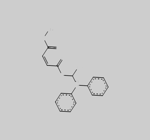 CCCC(OC(=O)/C=C\C(=O)OC(C)(C)C)[SiH](c1ccccc1)c1ccccc1